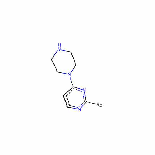 CC(=O)c1nccc(N2CCNCC2)n1